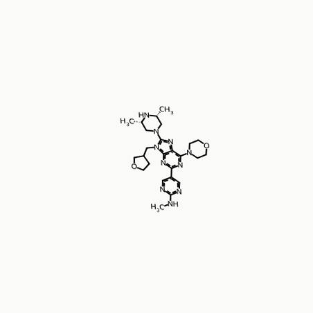 CNc1ncc(-c2nc(N3CCOCC3)c3nc(N4C[C@@H](C)N[C@@H](C)C4)n(CC4CCOC4)c3n2)cn1